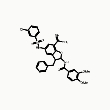 COc1ccc(C(=O)NC2Oc3c(C(=N)N)cc(NS(=O)(=O)c4cccc(Cl)c4)cc3C2Cc2ccccc2)cc1OC